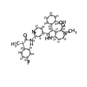 CC(C(=O)Nc1cc(-c2[nH]c3ccn(C)c(=O)c3c2-c2ccccc2O)ccn1)c1ccc(F)cc1